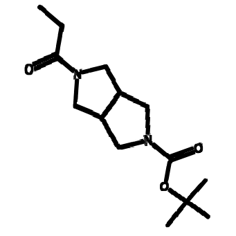 CCC(=O)N1CC2CN(C(=O)OC(C)(C)C)CC2C1